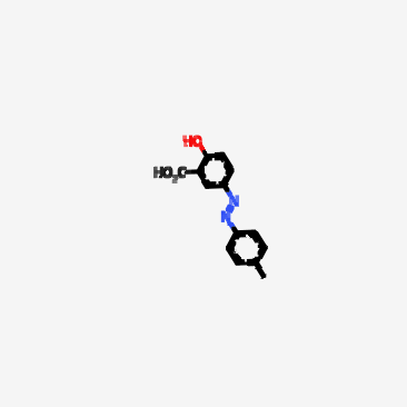 Cc1ccc(N=Nc2ccc(O)c(C(=O)O)c2)cc1